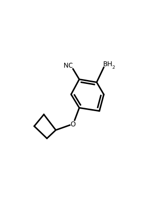 Bc1ccc(OC2CCC2)cc1C#N